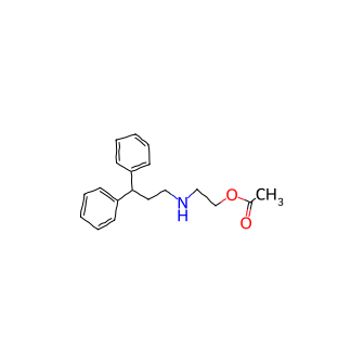 CC(=O)OCCNCCC(c1ccccc1)c1ccccc1